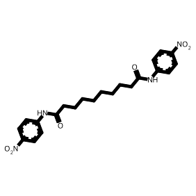 O=C(CCCCCCCCC(=O)Nc1ccc([N+](=O)[O-])cc1)Nc1ccc([N+](=O)[O-])cc1